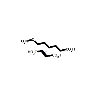 O=C(O)/C=C/C(=O)O.O=C(O)CCCCCO[N+](=O)[O-]